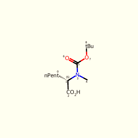 CCCCC[C@@H](C(=O)O)N(C)C(=O)OC(C)(C)C